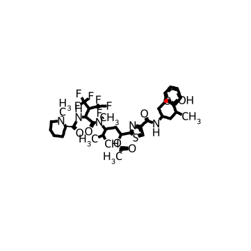 CC(=O)OC(CC(C(C)C)N(C)C(=O)C(NC(=O)[C@H]1CCCCN1C)C(C(F)(F)F)C(F)(F)F)c1nc(C(=O)NC(Cc2ccccc2)CC(C)C(=O)O)cs1